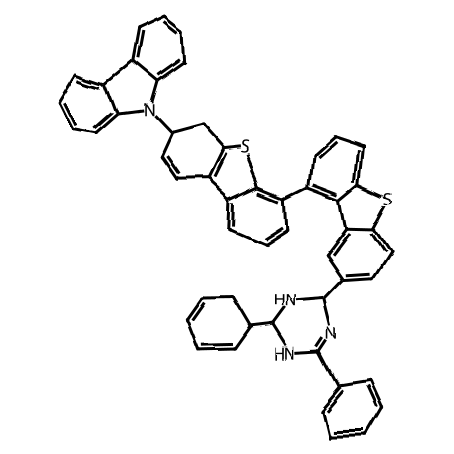 C1=CCC(C2NC(c3ccccc3)=NC(c3ccc4sc5cccc(-c6cccc7c8c(sc67)CC(n6c7ccccc7c7ccccc76)C=C8)c5c4c3)N2)C=C1